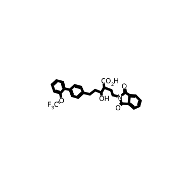 O=C(O)C(CCN1C(=O)c2ccccc2C1=O)C(O)CCc1ccc(-c2ccccc2OC(F)(F)F)cc1